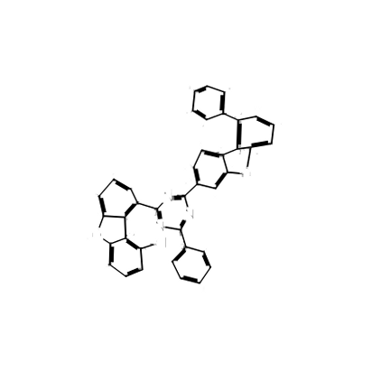 Clc1cccc2oc3cccc(-c4nc(-c5ccccc5)nc(-c5ccc6c(c5)oc5cccc(-c7ccccc7)c56)n4)c3c12